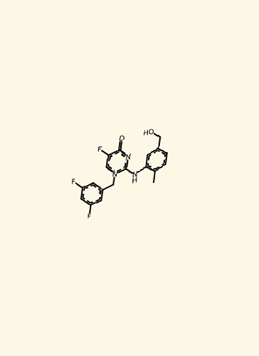 Cc1ccc(CO)cc1Nc1nc(=O)c(F)cn1Cc1cc(F)cc(F)c1